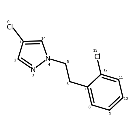 Clc1cnn(CCc2ccccc2Cl)c1